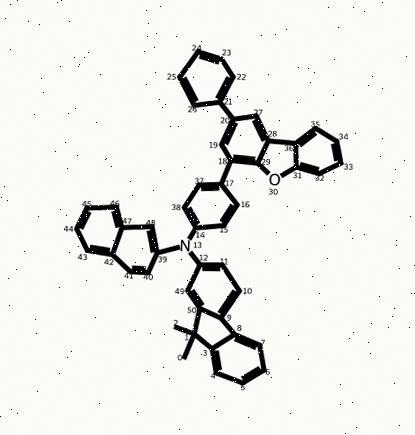 CC1(C)c2ccccc2-c2ccc(N(c3ccc(-c4cc(-c5ccccc5)cc5c4oc4ccccc45)cc3)c3ccc4ccccc4c3)cc21